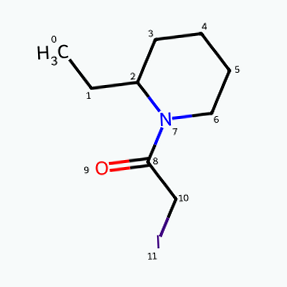 CCC1CCCCN1C(=O)CI